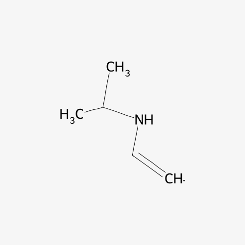 [CH]=CNC(C)C